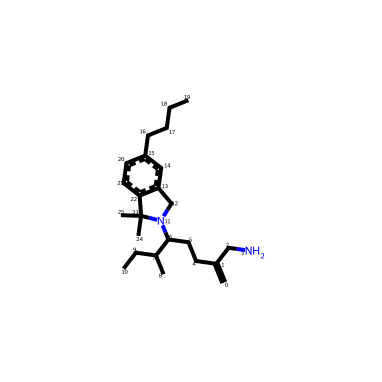 C=C(CN)CCC(C(C)CC)N1Cc2cc(CCCC)ccc2C1(C)C